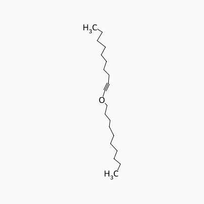 CCCCCCCCC#COCCCCCCCCCC